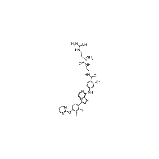 CCc1cc(Nc2nccn3c(-c4ccc(Oc5ncccn5)c(F)c4F)cnc23)ccc1C(=O)NCCNC(=O)[C@H](N)CCNC(=N)N